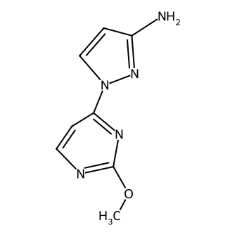 COc1nccc(-n2ccc(N)n2)n1